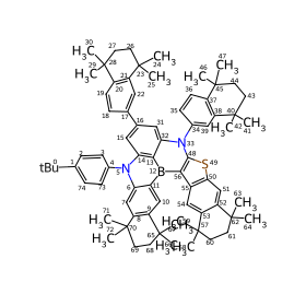 CC(C)(C)c1ccc(N2c3cc4c(cc3B3c5c2cc(-c2ccc6c(c2)C(C)(C)CCC6(C)C)cc5N(c2ccc5c(c2)C(C)(C)CCC5(C)C)c2sc5cc6c(cc5c23)C(C)(C)CCC6(C)C)C(C)(C)CCC4(C)C)cc1